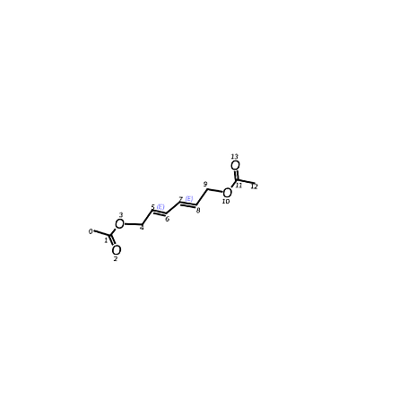 CC(=O)OC/C=C/C=C/COC(C)=O